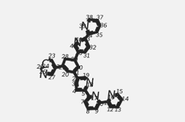 C1=C(c2ccc(-c3cccc(-c4ccccn4)n3)nc2)C=C(c2cccnc2)CC1c1ccc(-c2ccccn2)nc1